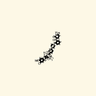 CC1(C)C(NC(=O)c2ccc(N3CCN(Cc4ccccc4NC4CCC(=O)NC4=O)CC3)nn2)C(C)(C)C1Oc1ccc(C#N)c(Cl)c1